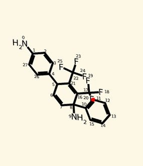 Nc1ccc(C2C=CC(N)(c3ccccc3)C(C(F)(F)F)=C2C(F)(F)F)cc1